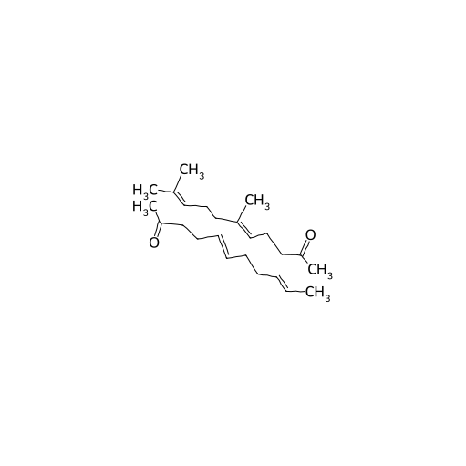 CC(=O)CC/C=C(\C)CCC=C(C)C.CC=CCCC=CCCC(C)=O